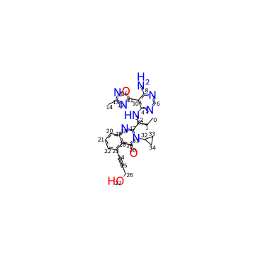 CC[C@H](Nc1ncnc(N)c1-c1nc(C)no1)c1nc2cccc(C#CCO)c2c(=O)n1C1CC1